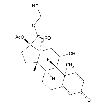 CC(=O)O[C@]1(C(=O)OCC#N)CC[C@H]2[C@@H]3CCC4=CC(=O)C=C[C@]4(C)[C@@]3(F)[C@@H](O)C[C@@]21C